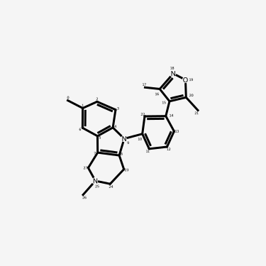 Cc1ccc2c(c1)c1c(n2-c2cccc(-c3c(C)noc3C)c2)CCN(C)C1